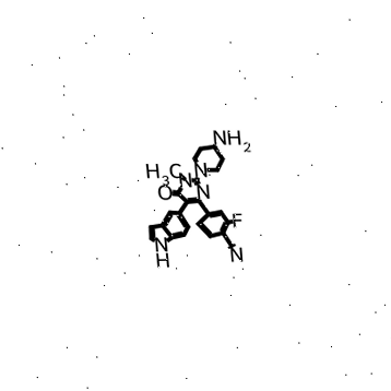 Cn1c(N2CCC(N)CC2)nc(-c2ccc(C#N)c(F)c2)c(-c2ccc3[nH]ccc3c2)c1=O